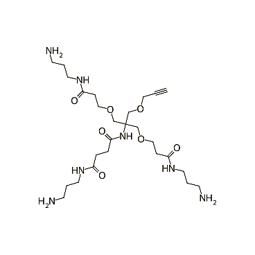 C#CCOCC(COCCC(=O)NCCCN)(COCCC(=O)NCCCN)NC(=O)CCC(=O)NCCCN